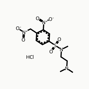 CN(C)CCN(C)S(=O)(=O)c1ccc(C[N+](=O)[O-])c([N+](=O)[O-])c1.Cl